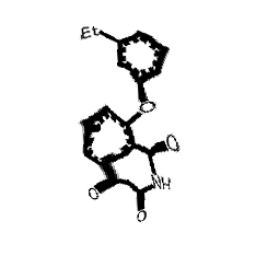 CCc1cccc(Oc2cccc3c2C(=O)NC(=O)C3=O)c1